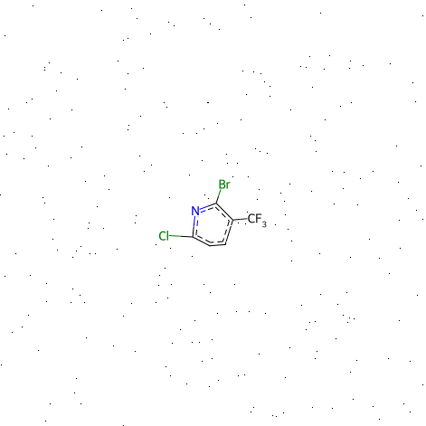 FC(F)(F)c1ccc(Cl)nc1Br